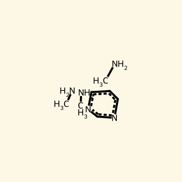 CN.CN.CN.c1cncnc1